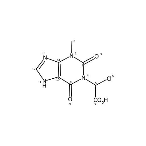 Cn1c(=O)n(C(Cl)C(=O)O)c(=O)c2[nH]cnc21